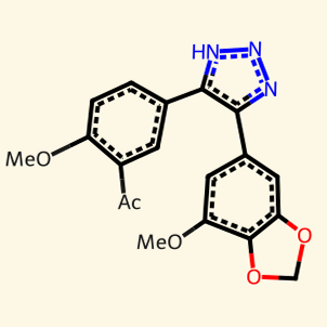 COc1ccc(-c2[nH]nnc2-c2cc(OC)c3c(c2)OCO3)cc1C(C)=O